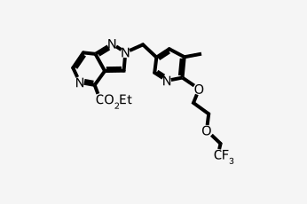 CCOC(=O)c1nccc2nn(Cc3cnc(OCCOCC(F)(F)F)c(C)c3)cc12